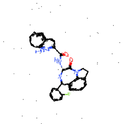 O=C(N[C@H]1N=C(c2ccccc2F)c2cccc3c2N(CC3)C1=O)c1cc2ccccc2[nH]1